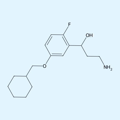 NCCC(O)c1cc(OCC2CCCCC2)ccc1F